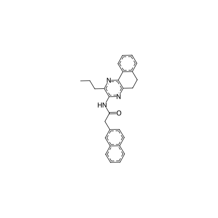 CCCc1nc2c(nc1NC(=O)Cc1ccc3ccccc3c1)CCc1ccccc1-2